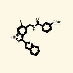 COc1cccc(C(=O)NCc2cc3c(-c4cc5ccccc5s4)n[nH]c3cc2F)c1